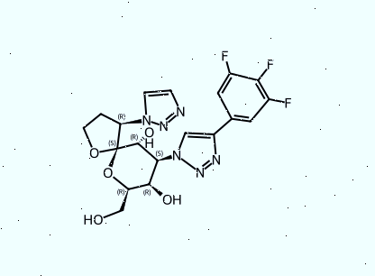 OC[C@H]1O[C@]2(OCC[C@H]2n2ccnn2)[C@H](O)[C@@H](n2cc(-c3cc(F)c(F)c(F)c3)nn2)[C@H]1O